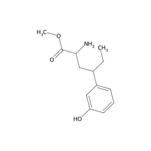 CCC(CC(N)C(=O)OC)c1cccc(O)c1